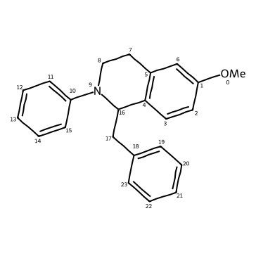 COc1ccc2c(c1)CCN(c1ccccc1)C2Cc1ccccc1